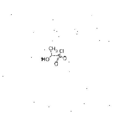 CC(O)S(=O)(=O)Cl